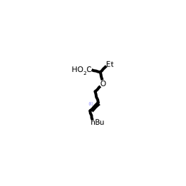 CCCC/C=C/COC(CC)C(=O)O